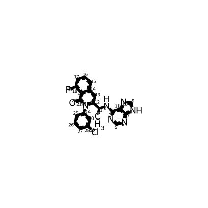 CC(Nc1ncnc2[nH]cnc12)c1cc2cccc(F)c2c(=O)n1-c1cccc(Cl)c1